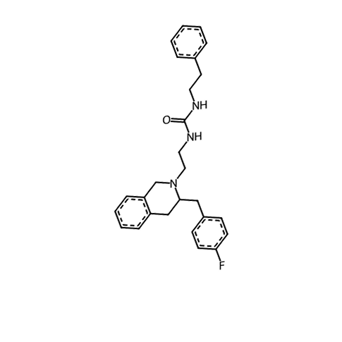 O=C(NCCc1ccccc1)NCCN1Cc2ccccc2CC1Cc1ccc(F)cc1